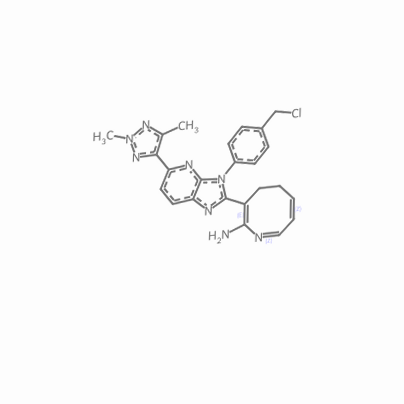 Cc1nn(C)nc1-c1ccc2nc(/C3=C(N)/N=C\C=C/CC3)n(-c3ccc(CCl)cc3)c2n1